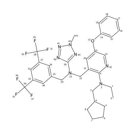 CCN(CC1CCCC1)c1ncc(Oc2ccccc2)cc1CN(Cc1cc(C(F)(F)F)cc(C(F)(F)F)c1)c1nnn(C)n1